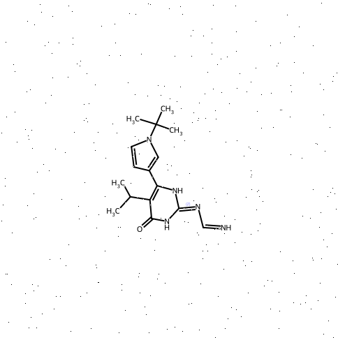 CC(C)c1c(-c2ccn(C(C)(C)C)c2)[nH]/c(=N/C=N)[nH]c1=O